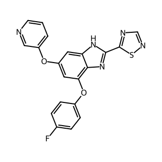 Fc1ccc(Oc2cc(Oc3cccnc3)cc3[nH]c(-c4ncns4)nc23)cc1